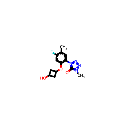 Cc1cc(-n2nnn(C)c2=O)c(OC2CC(O)C2)cc1F